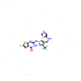 Cc1cc2c(=O)[nH]c(Cn3cc(CN(C)c4cncs4)c(C(F)(F)F)n3)nc2s1